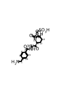 NCc1ccc(C(=O)NNC(=O)[C@@H]2CC[C@@H]3CN2C(=O)N3OS(=O)(=O)O)cc1